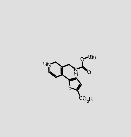 CC(C)(C)OC(=O)NCC1=C(c2ccc(C(=O)O)s2)C=CNC1